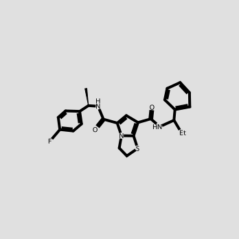 CCC(NC(=O)c1cc(C(=O)N[C@H](C)c2ccc(F)cc2)n2c1SCC2)c1ccccc1